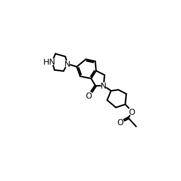 CC(=O)OC1CCC(N2Cc3ccc(N4CCNCC4)cc3C2=O)CC1